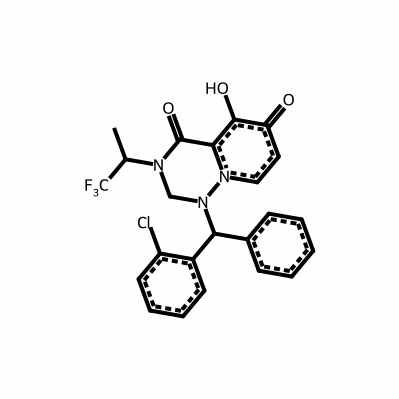 CC(N1CN(C(c2ccccc2)c2ccccc2Cl)n2ccc(=O)c(O)c2C1=O)C(F)(F)F